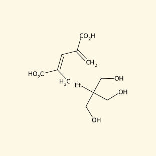 C=C(C=C(C)C(=O)O)C(=O)O.CCC(CO)(CO)CO